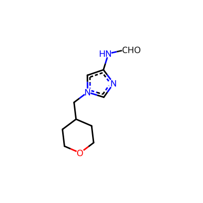 O=CNc1cn(CC2CCOCC2)cn1